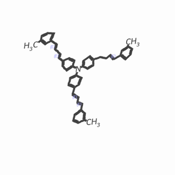 Cc1cccc(/C=C/C=C/c2ccc(N(c3ccc(/C=C/C=C/c4cccc(C)c4)cc3)c3ccc(CC/C=C/c4cccc(C)c4)cc3)cc2)c1